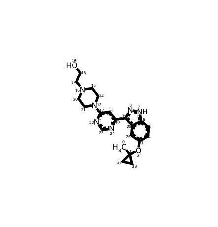 CC1(Oc2ccc3[nH]nc(-c4cc(N5CCN(CCO)CC5)ncn4)c3c2)CC1